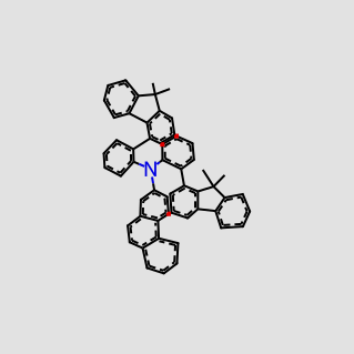 CC1(C)c2ccccc2-c2c(-c3ccccc3N(c3ccc4c(ccc5ccccc54)c3)c3ccccc3-c3cccc4c3C(C)(C)c3ccccc3-4)cccc21